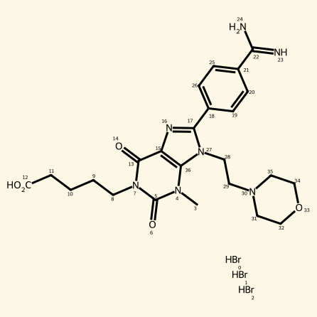 Br.Br.Br.Cn1c(=O)n(CCCCC(=O)O)c(=O)c2nc(-c3ccc(C(=N)N)cc3)n(CCN3CCOCC3)c21